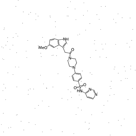 COc1ccc2[nH]cc(CC(=O)N3CCN(c4ccc(S(=O)(=O)Nc5ccncn5)cc4)CC3)c2c1